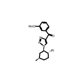 COc1cccc(C(=O)c2cn([C@@H]3C[C@H](C)CC[C@H]3C(C)C)nn2)c1